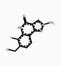 Cn1cc2c(=O)[nH]c3c(F)c(CCl)ccc3c2n1